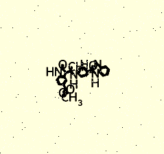 COC(=O)c1ccc2c(c1)C(=C(C)Nc1ccc(C(=O)Nc3ccccc3N)cc1)C(=O)N2